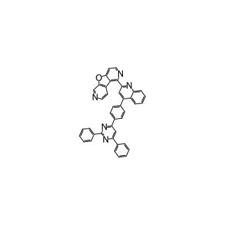 c1ccc(-c2cc(-c3ccc(-c4cc(-c5nccc6oc7cnccc7c56)nc5ccccc45)cc3)nc(-c3ccccc3)n2)cc1